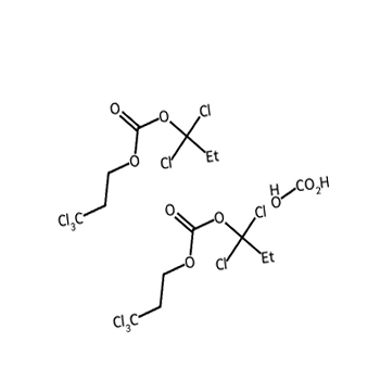 CCC(Cl)(Cl)OC(=O)OCCC(Cl)(Cl)Cl.CCC(Cl)(Cl)OC(=O)OCCC(Cl)(Cl)Cl.O=C(O)O